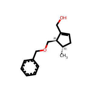 C[C@H]1CC=C(CO)[C@@H]1COCc1ccccc1